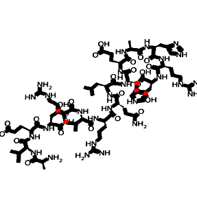 CC(C)C[C@H](NC(=O)[C@H](CCC(N)=O)NC(=O)[C@H](CCCNC(=N)N)NC(=O)[C@@H](NC(=O)[C@H](CCCNC(=N)N)NC(=O)[C@H](CC(=O)O)NC(=O)[C@H](CCC(=O)O)NC(=O)[C@@H](NC(=O)[C@H](C)N)C(C)C)C(C)C)C(=O)N[C@@H](Cc1c[nH]cn1)C(=O)N[C@@H](CCC(=O)O)C(=O)N[C@@H](C)C(=O)N[C@@H](Cc1c[nH]cn1)C(=O)N[C@@H](CCCNC(=N)N)C(=O)N[C@@H](CC(=O)O)C(=O)O